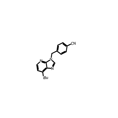 CCC(C)c1ccnc2c1ncn2Cc1ccc(C#N)cc1